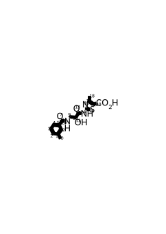 Cc1cccc(C(=O)NCC(O)C(=O)Nc2nc(C)c(C(=O)O)s2)c1